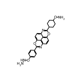 NNOc1ccc(C2=Nc3ccc4c5c(ccc(c35)O2)N=C(C2CCC(ON)CC2)O4)cc1